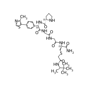 Cc1ncsc1-c1ccc([C@H](NC(=O)[C@@H]2CCCN2)C(=O)NCC(=O)NCC(=O)N[C@H](CSCC(=O)NC(C)C(C)(C)C)C(N)=O)cc1